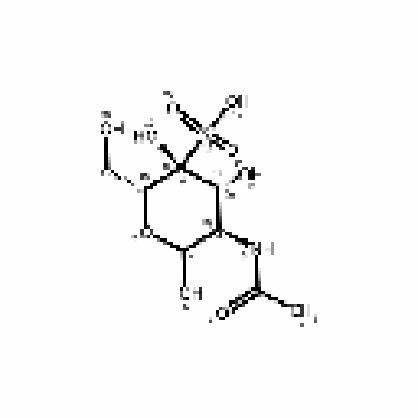 CC(=O)N[C@H]1C(O)O[C@H](CO)[C@](O)(S(=O)(=O)O)[C@@H]1O